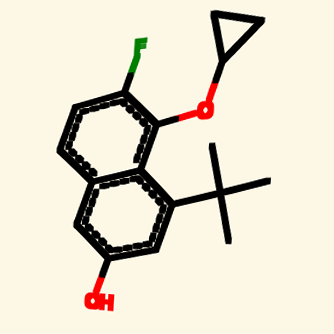 CC(C)(C)c1cc(O)cc2ccc(F)c(OC3CC3)c12